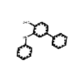 O=Cc1ccc(-c2ccccc2)cc1Nc1ccccc1